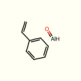 C=Cc1ccccc1.[O]=[AlH]